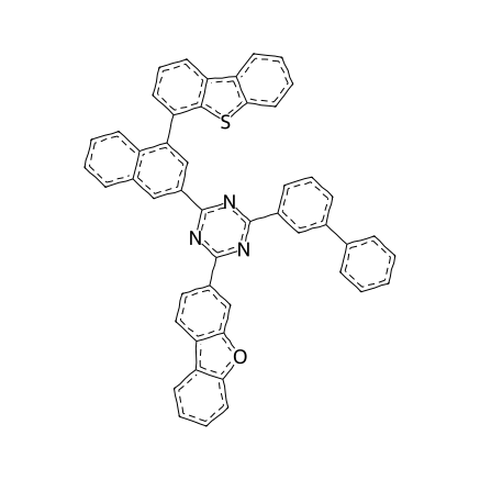 c1ccc(-c2cccc(-c3nc(-c4cc(-c5cccc6c5sc5ccccc56)c5ccccc5c4)nc(-c4ccc5c(c4)oc4ccccc45)n3)c2)cc1